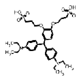 CCN(CC)c1ccc(C(c2ccc(N(CC)CC)cc2)c2ccc(OCCCS(=O)(=O)O)c(OCCCS(=O)(=O)O)c2)cc1